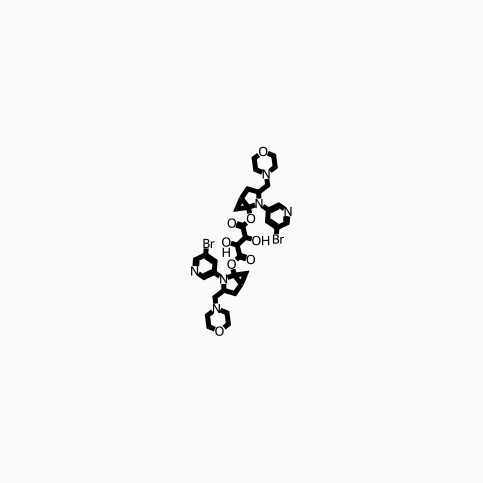 O=C(OC12CC1CC(CN1CCOCC1)N2c1cncc(Br)c1)C(O)C(O)C(=O)OC12CC1CC(CN1CCOCC1)N2c1cncc(Br)c1